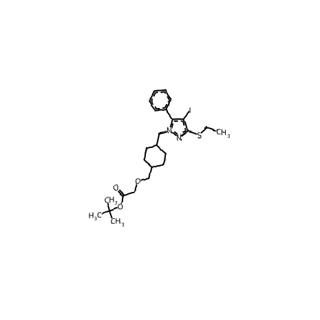 CCSc1nn(CC2CCC(COCC(=O)OC(C)(C)C)CC2)c(-c2ccccc2)c1I